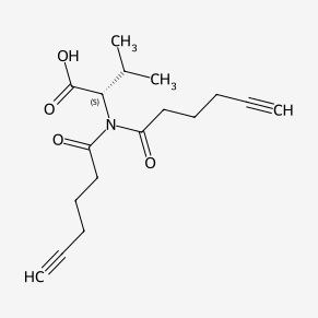 C#CCCCC(=O)N(C(=O)CCCC#C)[C@H](C(=O)O)C(C)C